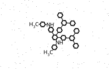 Cc1ccc(Nc2ccc(-c3ccc(Nc4ccc(C)cc4)c(-c4ccc(-c5cc(-c6ccccc6)cc(-c6ccccc6)c5)cc4)c3-c3ccc(-c4cc(-c5ccccc5)cc(-c5ccccc5)c4)cc3)cc2)cc1